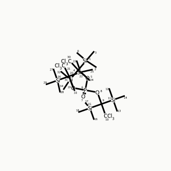 C[Si](C)(C)C(OP(=O)(OC(C(Cl)(Cl)Cl)([Si](C)(C)C)[Si](C)(C)C)OC(C(Cl)(Cl)Cl)([Si](C)(C)C)[Si](C)(C)C)(C(Cl)(Cl)Cl)[Si](C)(C)C